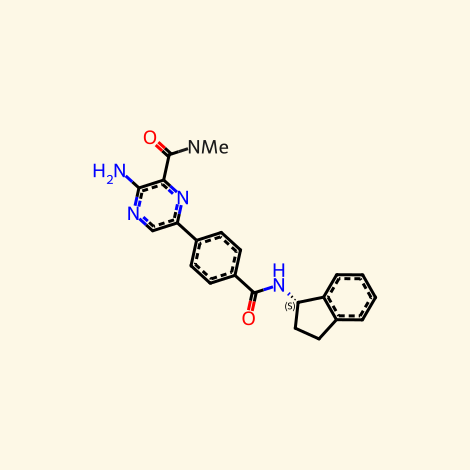 CNC(=O)c1nc(-c2ccc(C(=O)N[C@H]3CCc4ccccc43)cc2)cnc1N